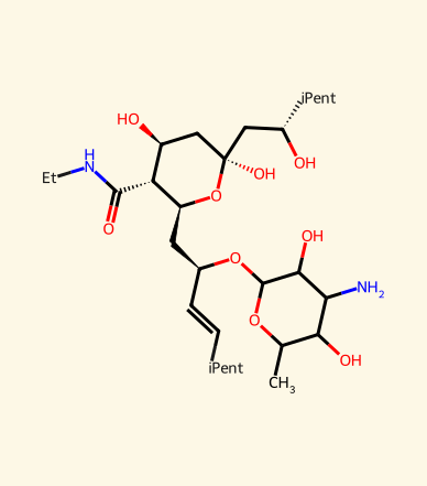 CCCC(C)/C=C/[C@@H](C[C@@H]1O[C@](O)(C[C@@H](O)C(C)CCC)C[C@H](O)[C@H]1C(=O)NCC)OC1OC(C)C(O)C(N)C1O